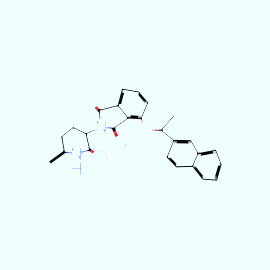 C=C1CCC(N2C(=O)c3cccc(OC(C)c4ccc5ccccc5c4)c3C2=O)C(=O)N1